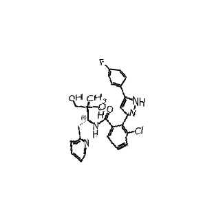 CC(O)(CO)[C@@H](Cc1ccccn1)NC(=O)c1cccc(Cl)c1-c1cc(-c2ccc(F)cc2)[nH]n1